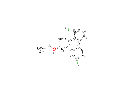 CCOc1ccc(-c2c(-c3ccc(F)cc3)[c]ccc2F)cc1